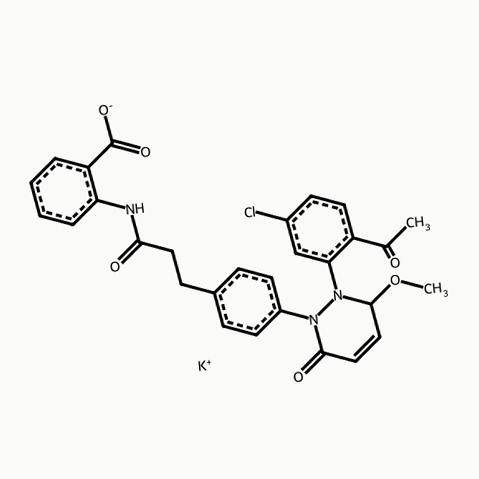 COC1C=CC(=O)N(c2ccc(CCC(=O)Nc3ccccc3C(=O)[O-])cc2)N1c1cc(Cl)ccc1C(C)=O.[K+]